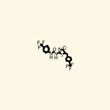 O=C(NC1=NC(=O)/C(=C/c2ccc(C(F)(F)F)cc2)S1)Nc1ccc(C(F)(F)F)cc1